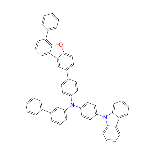 c1ccc(-c2cccc(N(c3ccc(-c4ccc5oc6c(-c7ccccc7)cccc6c5c4)cc3)c3ccc(-n4c5ccccc5c5ccccc54)cc3)c2)cc1